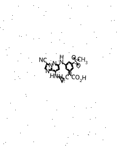 CN(C(=O)O)c1cc(Nc2cc(NC3CC3)c3ncc(C#N)n3n2)cc(S(C)(=O)=O)c1